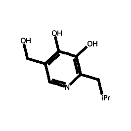 CC(C)Cc1ncc(CO)c(O)c1O